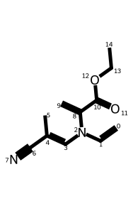 C=CN(/C=C(\C)C#N)C(=C)C(=O)OCC